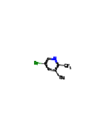 CCC(C)c1cc(Br)cnc1C(F)(F)F